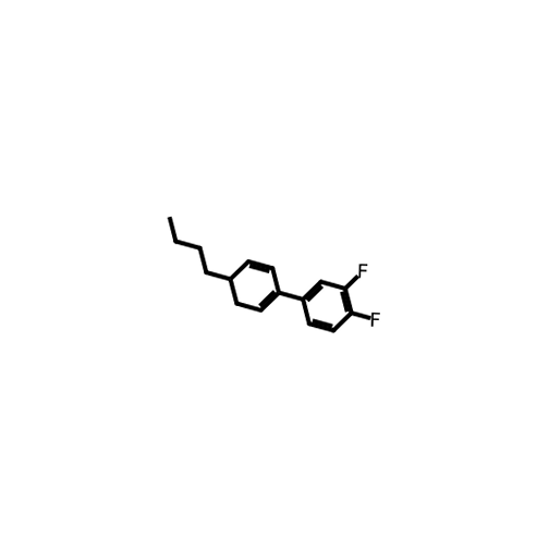 CCCCC1C=CC(c2ccc(F)c(F)c2)=CC1